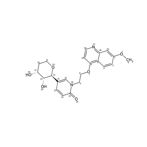 COc1ccc2c(OCCn3cc([C@@H]4OCC[C@@H](O)[C@H]4O)ccc3=O)ccnc2c1